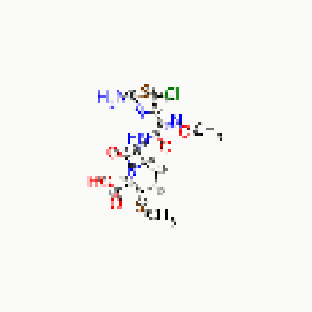 CO/N=C(\C(=O)N[C@@H]1C(=O)N2C(C(=O)O)=C(SC)CCC12)c1nc(N)sc1Cl